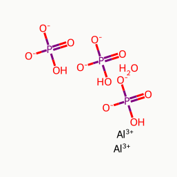 O.O=P([O-])([O-])O.O=P([O-])([O-])O.O=P([O-])([O-])O.[Al+3].[Al+3]